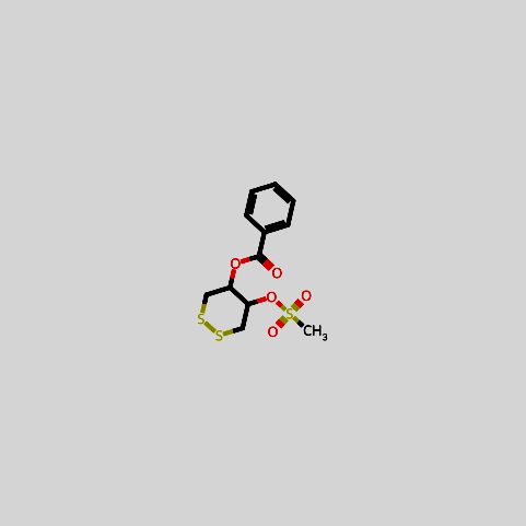 CS(=O)(=O)OC1CSSCC1OC(=O)c1ccccc1